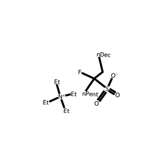 CCCCCCCCCCCC(F)(CCCCC)S(=O)(=O)[O-].CC[N+](CC)(CC)CC